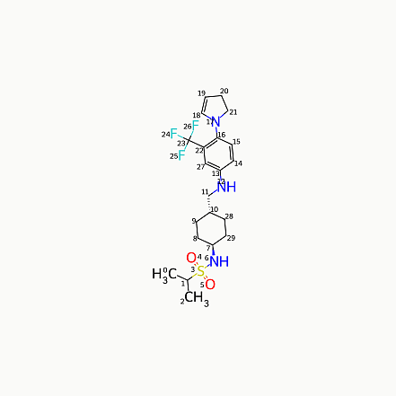 CC(C)S(=O)(=O)N[C@H]1CC[C@H](CNc2ccc(N3C=CCC3)c(C(F)(F)F)c2)CC1